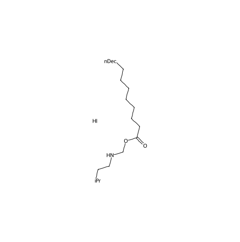 CCCCCCCCCCCCCCCCCC(=O)OCNCCC(C)C.I